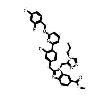 CCCn1cnnc1Cn1c(Cc2ccc(-c3cccc(OCc4ccc(Cl)cc4F)n3)c(Cl)c2)nc2ccc(C(=O)OC)cc21